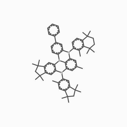 Cc1cc2c3c(c1)N(c1ccc4c(c1C)C(C)(C)CCC4(C)C)c1cc(-c4ccccc4)ccc1B3c1cc3c(cc1N2c1cc2c(cc1C)C(C)(C)CC2(C)C)C(C)(C)CC3(C)C